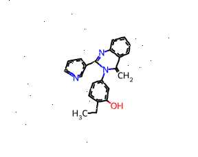 C=C1c2ccccc2N=C(c2cccnc2)N1c1ccc(CC)c(O)c1